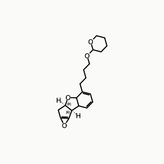 C1=CC2C(O[C@@H]3CC4=C(O4)[C@H]23)C(CCCCOC2CCCCO2)=C1